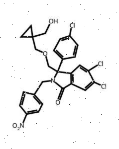 O=C1c2cc(Cl)c(Cl)cc2C(COCC2(CO)CC2)(c2ccc(Cl)cc2)N1Cc1ccc([N+](=O)[O-])cc1